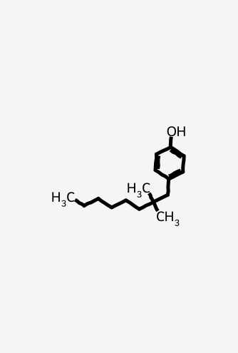 CCCCCCC(C)(C)Cc1ccc(O)cc1